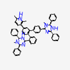 CC1=C(c2ccc(-c3ccccc3C3=NC(c4ccccc4)N(C)C(c4ccccc4)N3)c(-c3ccc(C4N=C(c5ccccc5)NC(c5ccccc5)N4C)cc3)c2)C=CC(C)N1